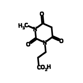 CN1C(=O)CC(=O)N(CCC(=O)O)C1=O